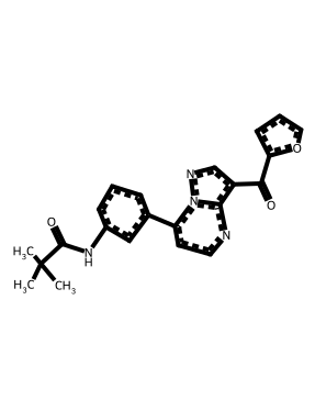 CC(C)(C)C(=O)Nc1cccc(-c2ccnc3c(C(=O)c4ccco4)cnn23)c1